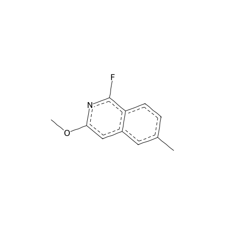 COc1cc2cc(C)ccc2c(F)n1